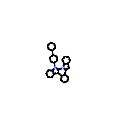 c1ccc(-c2ccc(-n3c4ccccc4c4c5ccccc5c5cc6ccccc6n5c43)cc2)cc1